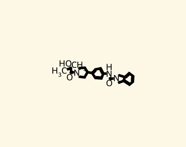 CC(C)(O)C(=O)N1CCC(c2ccc(NC(=O)N3Cc4ccccc4C3)cc2)CC1